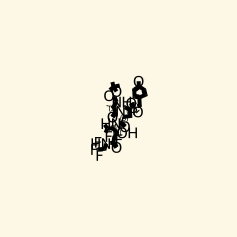 COc1ccc(CS(=O)(=O)[C@@H]2C[C@@H](C(=O)N[C@@H](C(C)C)[C@@H](O)C(F)(F)C(=O)NCC(F)(F)F)N(C(=O)[C@H](C)NC(=O)OC(C)(C)C)C2)cc1